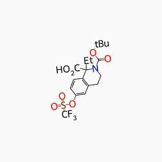 CCC1(C(=O)O)c2ccc(OS(=O)(=O)C(F)(F)F)cc2CCN1C(=O)OC(C)(C)C